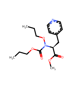 CCCOC(=O)N(OCCC)[C@@H](Cc1ccncc1)C(=O)OC